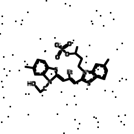 CCC(=Cc1sc2ccc(C)cc2[n+]1CCC(C)OS(=O)(=O)[O-])C=C1Sc2ccc(C)cc2N1CCO